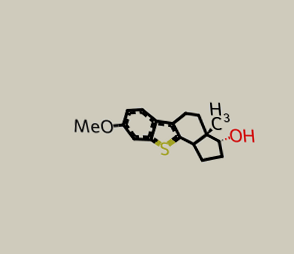 COc1ccc2c3c(sc2c1)C1CC[C@@H](O)[C@@]1(C)CC3